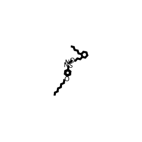 CCCCCCCCOc1ccc(-c2nnc(OCCCC3CCCCC3CCCCC)s2)cc1